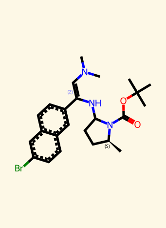 C[C@H]1CCC(N/C(=C\N(C)C)c2ccc3cc(Br)ccc3c2)N1C(=O)OC(C)(C)C